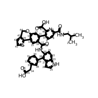 CC(C)CNC(=O)c1ccc(-c2cc3c(cc2C(=O)Nc2ccc4[nH]ccc4c2-c2cccc(CC(=O)O)c2)-c2sccc2CO3)c(C(=O)O)n1